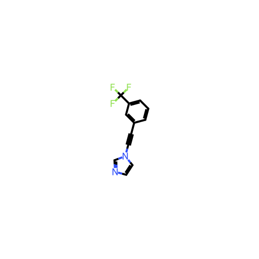 FC(F)(F)c1cccc(C#Cn2ccnc2)c1